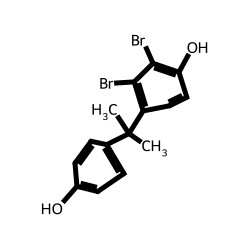 CC(C)(c1ccc(O)cc1)c1ccc(O)c(Br)c1Br